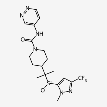 Cn1nc(C(F)(F)F)cc1[S+]([O-])C(C)(C)C1CCN(C(=O)Nc2ccnnc2)CC1